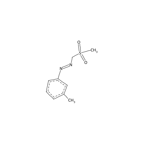 Cc1cccc(N=NCS(C)(=O)=O)c1